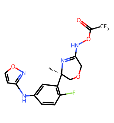 C[C@@]1(c2cc(Nc3ccon3)ccc2F)COCC(NOC(=O)C(F)(F)F)=N1